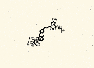 Cc1ccc([C@]23OC[C@](C(C)(C)O)(O2)[C@@H](O)[C@H](O)[C@H]3O)cc1Cc1ccc(CCCC(=O)N2CC(O)CC2C(=O)NCCN(C)C)cc1